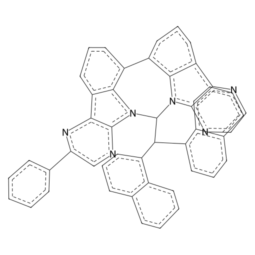 c1ccc(-c2cnc3c(n2)c2cccc4c2n3C(C(c2cccc3ccccc23)c2cccc3ccccc23)n2c3nccnc3c3cccc-4c32)cc1